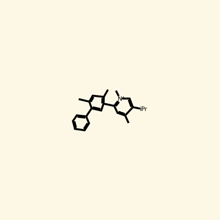 Cc1cc(C)c(-c2cc(C)c(C(C)C)c[n+]2C)cc1-c1ccccc1